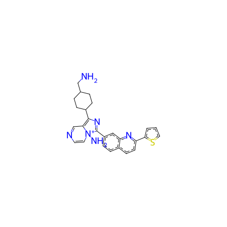 NCC1CCC(C2=C3C=NC=C[N+]3(N)C(c3ccc4ccc(-c5cccs5)nc4c3)=N2)CC1